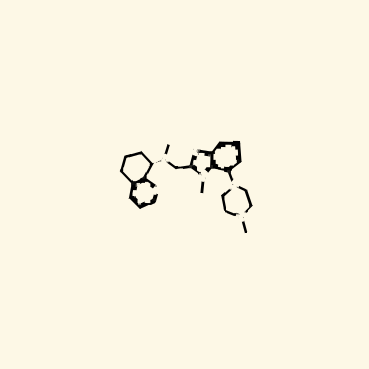 CN1CCN(c2cccc3nc(CN(C)[C@@H]4CCCc5cccnc54)n(C)c23)CC1